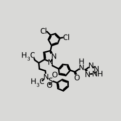 CCC(CCN(C)S(=O)(=O)c1ccccc1)c1cc(-c2cc(Cl)cc(Cl)c2)nn1Cc1ccc(C(=O)Nc2nn[nH]n2)cc1